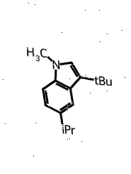 CC(C)c1ccc2c(c1)c(C(C)(C)C)cn2C